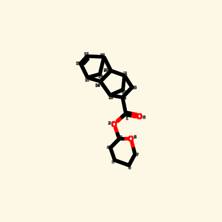 O=C(OC1CCCCO1)C1CC2CC1C1C3C=CC(C3)C21